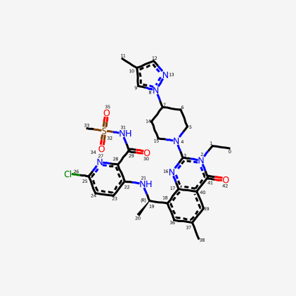 CCn1c(N2CCC(n3cc(C)cn3)CC2)nc2c([C@@H](C)Nc3ccc(Cl)nc3C(=O)NS(C)(=O)=O)cc(C)cc2c1=O